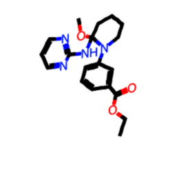 CCOC(=O)c1cccc(N2CCCCC2(Nc2ncccn2)OC)c1